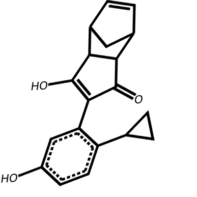 O=C1C(c2cc(O)ccc2C2CC2)=C(O)C2C3C=CC(C3)C12